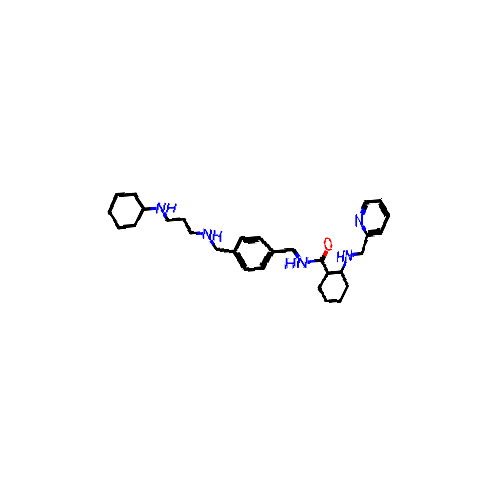 O=C(NCc1ccc(CNCCCNC2CCCCC2)cc1)C1CCCCC1NCc1ccccn1